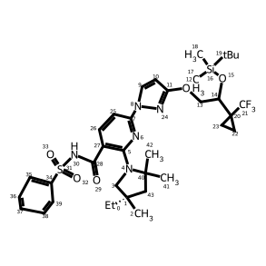 CC[C@]1(C)CN(c2nc(-n3ccc(OCC(O[Si](C)(C)C(C)(C)C)C4(C(F)(F)F)CC4)n3)ccc2C(=O)NS(=O)(=O)c2ccccc2)C(C)(C)C1